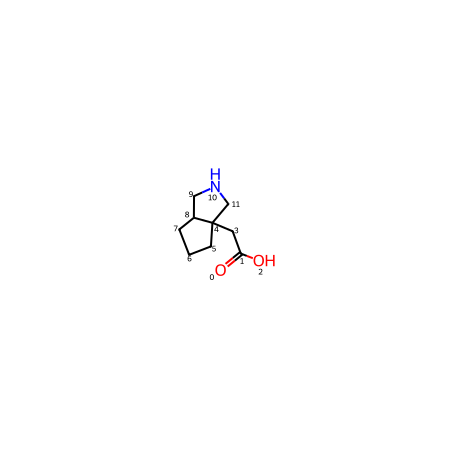 O=C(O)CC12CCCC1CNC2